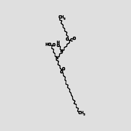 CCCCCCCCCCCCCCCCCCCCCOC(=O)CCCCCN(CCCCCC(=O)O)CCCN(CCO)CCCCCC(=C=O)OCCCCCCCCCCC